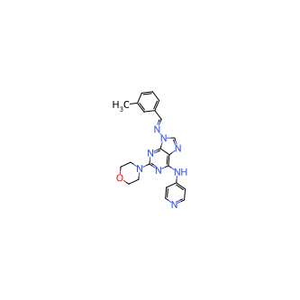 Cc1cccc(/C=N/n2cnc3c(Nc4ccncc4)nc(N4CCOCC4)nc32)c1